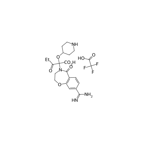 CCC(=O)C(OC1CCNCC1)(C(=O)O)N1CCOc2cc(C(=N)N)ccc2C1=O.O=C(O)C(F)(F)F